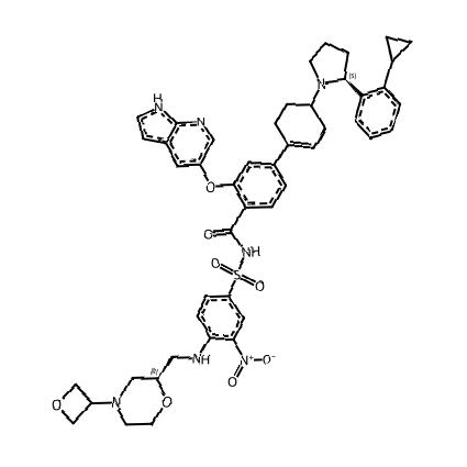 O=C(NS(=O)(=O)c1ccc(NC[C@@H]2CN(C3COC3)CCO2)c([N+](=O)[O-])c1)c1ccc(C2=CCC(N3CCC[C@H]3c3ccccc3C3CC3)CC2)cc1Oc1cnc2[nH]ccc2c1